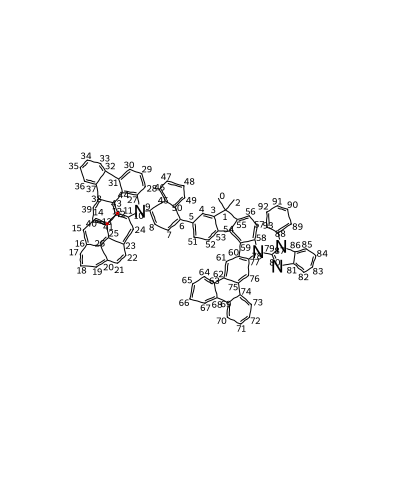 CC1(C)c2cc(-c3ccc(N(c4cc5ccc6cccc7ccc(c4)c5c67)c4cccc5c6ccccc6c6ccccc6c45)c4ccccc34)ccc2-c2c1ccc1c2c2cc3c4ccccc4c4ccccc4c3cc2n1-c1nc2ccccc2n1-c1ccccc1